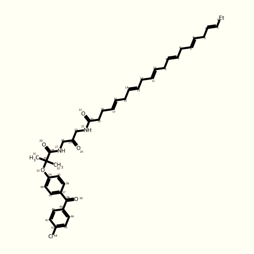 CCC=CCC=CCC=CCC=CCC=CCC=CCCC(=O)NCC(=O)CNC(=O)C(C)(C)Oc1ccc(C(=O)c2ccc(Cl)cc2)cc1